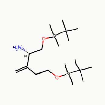 C=C(CCO[Si](C)(C)C(C)(C)C)[C@H](N)CO[Si](C)(C)C(C)(C)C